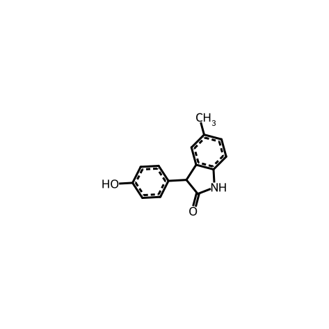 Cc1ccc2c(c1)C(c1ccc(O)cc1)C(=O)N2